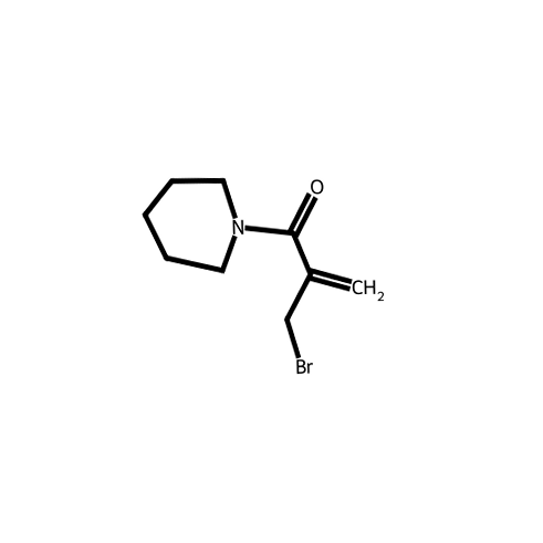 C=C(CBr)C(=O)N1CCCCC1